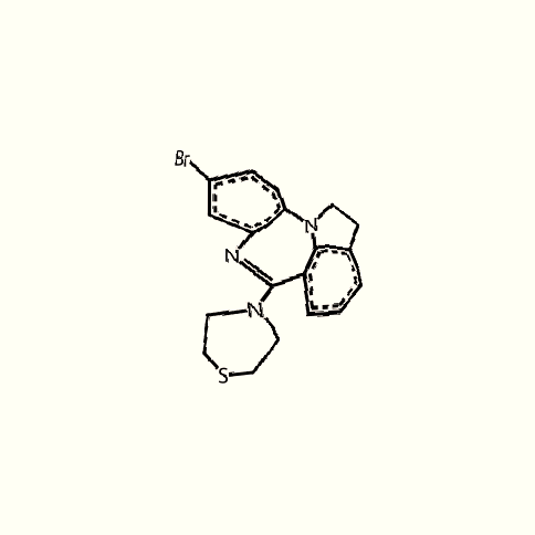 Brc1ccc2c(c1)N=C(N1CCSCC1)c1cccc3c1N2CC3